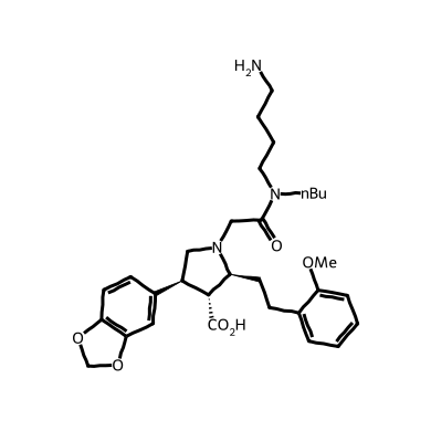 CCCCN(CCCCN)C(=O)CN1C[C@H](c2ccc3c(c2)OCO3)[C@@H](C(=O)O)[C@@H]1CCc1ccccc1OC